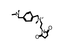 CN(C)Cc1ccc(C[N+](C)(C)CCN2C(=O)CCC2=O)cc1